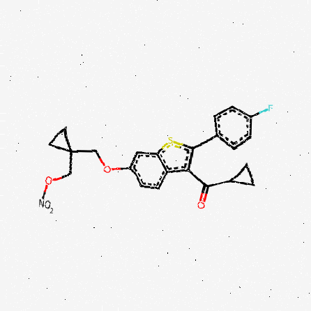 O=C(c1c(-c2ccc(F)cc2)sc2cc(OCC3(CO[N+](=O)[O-])CC3)ccc12)C1CC1